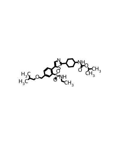 CCNS(=O)(=O)c1cc(COCC(C)C)ccc1-c1cnc(C2CCC(NC(=O)OC(C)C)CC2)s1